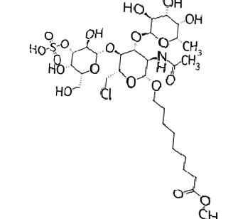 COC(=O)CCCCCCCCO[C@@H]1O[C@H](CCl)[C@@H](O[C@@H]2O[C@H](CO)[C@H](O)[C@H](OS(=O)(=O)O)[C@H]2O)[C@H](O[C@@H]2O[C@@H](C)[C@@H](O)[C@@H](O)[C@@H]2O)[C@H]1NC(C)=O